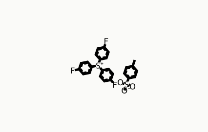 Cc1ccc(S(=O)(=O)[O-])cc1.Fc1ccc([S+](c2ccc(F)cc2)c2ccc(F)cc2)cc1